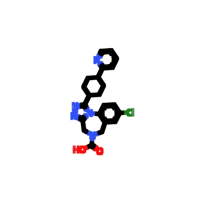 O=C(O)N1Cc2cc(Cl)ccc2-n2c(nnc2C2CCC(c3ccccn3)CC2)C1